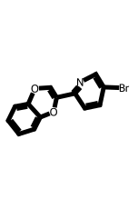 Brc1ccc(C2=COc3ccccc3O2)nc1